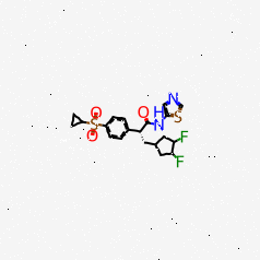 O=C(Nc1cncs1)[C@H](CC1CC(F)C(F)C1)c1ccc(S(=O)(=O)C2CC2)cc1